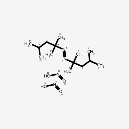 CC(C)CC(C)(C)N=NC(C)(C)CC(C)C.O=NO.O=NO